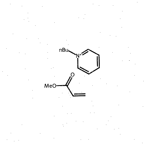 C=CC(=O)OC.CCCC[n+]1ccccc1